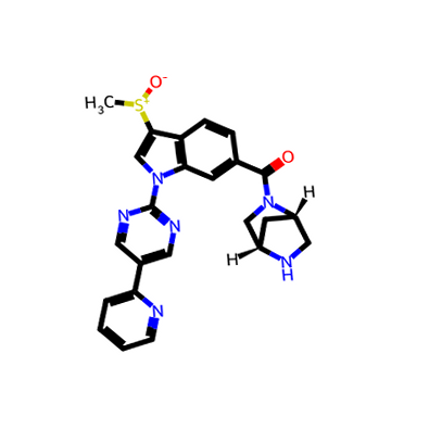 C[S+]([O-])c1cn(-c2ncc(-c3ccccn3)cn2)c2cc(C(=O)N3C[C@@H]4C[C@H]3CN4)ccc12